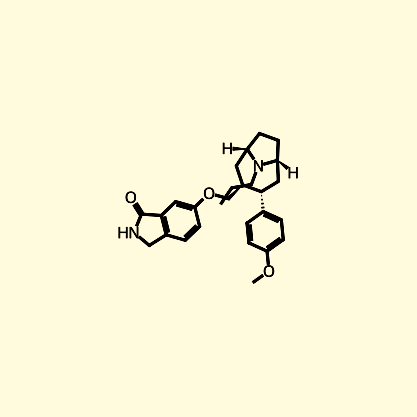 CCCN1[C@@H]2CC[C@H]1C[C@H](COc1ccc3c(c1)C(=O)NC3)[C@@H](c1ccc(OC)cc1)C2